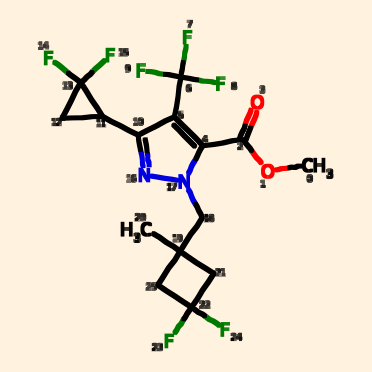 COC(=O)c1c(C(F)(F)F)c(C2CC2(F)F)nn1CC1(C)CC(F)(F)C1